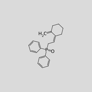 C=C1CCCC/C1=C/CP(=O)(c1ccccc1)c1ccccc1